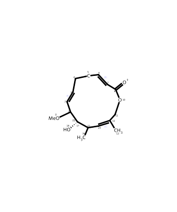 COC1/C=C/CC/C=C/C(=O)OC/C(C)=C\C(C)[C@@H]1O